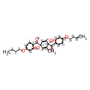 C=CCCOc1ccc(C(=O)C2(O)C=CC(O)(C(=O)c3ccc(OCCC=C)cc3)C(C)=C2)cc1